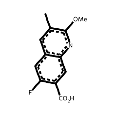 COc1nc2cc(C(=O)O)c(F)cc2cc1C